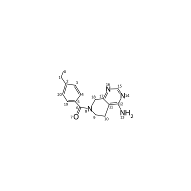 CCc1ccc(C(=O)N2CCc3c(N)ncnc3C2)cc1